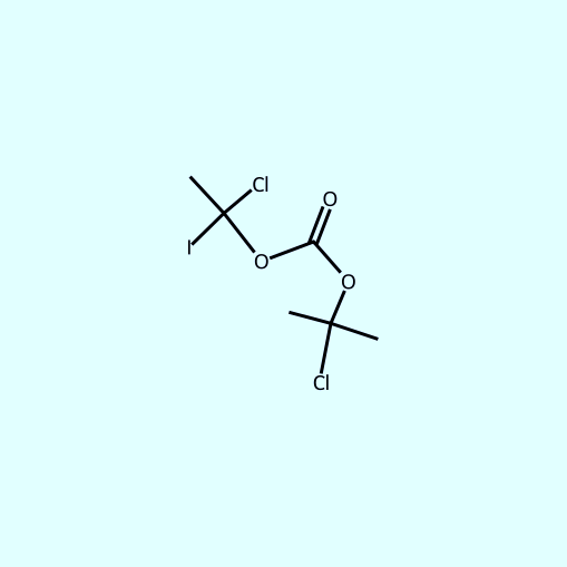 CC(C)(Cl)OC(=O)OC(C)(Cl)I